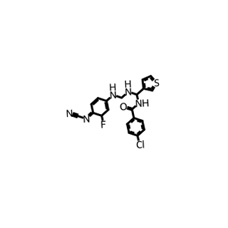 N#CN=C1C=CC(NCNC(NC(=O)c2ccc(Cl)cc2)c2ccsc2)=CC1F